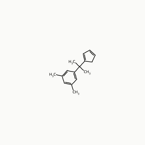 Cc1cc(C)cc(C(C)(C)C2=CC=CC2)c1